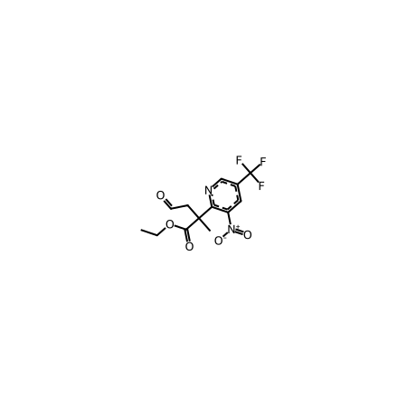 CCOC(=O)C(C)(CC=O)c1ncc(C(F)(F)F)cc1[N+](=O)[O-]